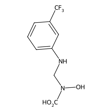 O=C(O)N(O)CNc1cccc(C(F)(F)F)c1